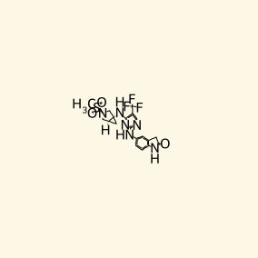 CS(=O)(=O)N1C[C@@H]2C[C@]2(Nc2nc(Nc3ccc4c(c3)CC(=O)N4)ncc2C(F)(F)F)C1